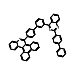 c1ccc(-c2ccc(-c3nc(-c4cccc(-c5ccc(-c6nc7ccccc7c7c8ccccc8c8ccccc8c67)cc5)c4)c4ccccc4n3)cc2)cc1